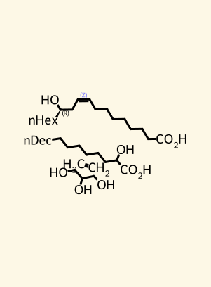 C=C.CCCCCCCCCCCCCCCCC(O)C(=O)O.CCCCCC[C@@H](O)C/C=C\CCCCCCCC(=O)O.OCC(O)CO